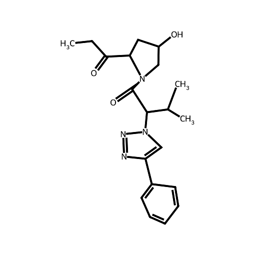 CCC(=O)C1CC(O)CN1C(=O)C(C(C)C)n1cc(-c2ccccc2)nn1